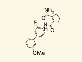 COc1cccc(-c2ccc(NC(=O)C3=C(C(N)=O)CCC3)c(F)c2)c1